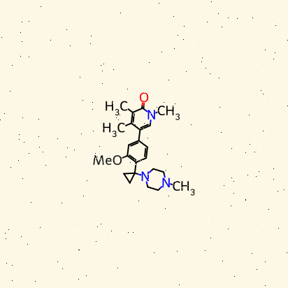 COc1cc(-c2cn(C)c(=O)c(C)c2C)ccc1C1(N2CCN(C)CC2)CC1